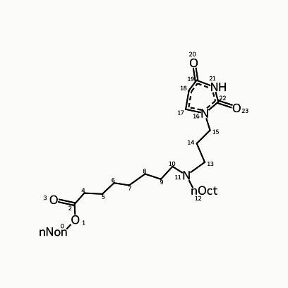 CCCCCCCCCOC(=O)CCCCCCCN(CCCCCCCC)CCCn1ccc(=O)[nH]c1=O